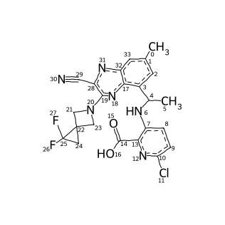 Cc1cc(C(C)Nc2ccc(Cl)nc2C(=O)O)c2nc(N3CC4(C3)CC4(F)F)c(C#N)nc2c1